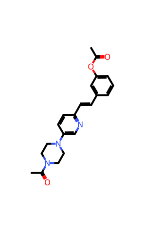 CC(=O)Oc1cccc(C=Cc2ccc(N3CCN(C(C)=O)CC3)cn2)c1